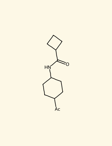 CC(=O)C1CCC(NC(=O)C2CCC2)CC1